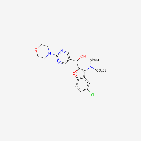 CCCCCN(C(=O)OCC)c1c(C(O)c2cnc(N3CCOCC3)nc2)oc2ccc(Cl)cc12